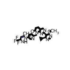 COc1ncnc(C2CC2)c1-c1ncc2ccc(=O)n(Cc3ccc(N/C(C)=C\C(=N)C(F)(F)F)cn3)c2n1